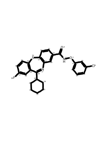 O=C(NOc1cccc(Cl)c1)c1ccc2c(c1)N=C(C1CCCCC1)c1cc(F)ccc1S2